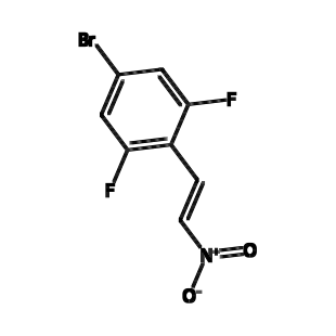 O=[N+]([O-])/C=C/c1c(F)cc(Br)cc1F